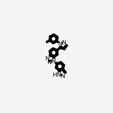 Cc1cccc(-n2nccc2-c2ccc3nnn(-c4ccc5cn[nH]c5c4)c3c2)c1